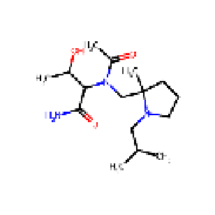 CC(=O)N(CC1(C)CCCN1CC(C)C)C(C(N)=O)C(C)O